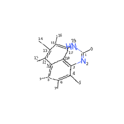 CC1=Nc2c(C)c(C)c(C)c3c(C)c(C)c(C)c(c23)N1